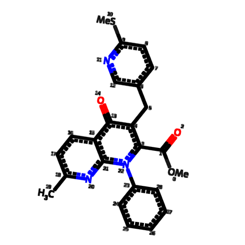 COC(=O)c1c(Cc2ccc(SC)nc2)c(=O)c2ccc(C)nc2n1-c1ccccc1